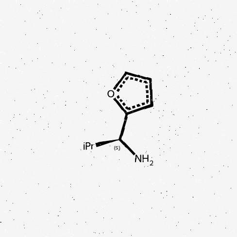 CC(C)[C@H](N)c1ccco1